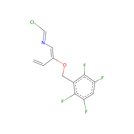 C=C/C(=C\N=C\Cl)OCc1c(F)c(F)cc(F)c1F